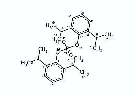 CC(C)c1cccc(C(C)C)c1OP(=O)(O)Oc1c(C(C)C)cccc1C(C)C